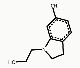 Cc1ccc2c(c1)N(CCO)CC2